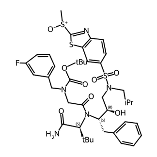 CC(C)CN(C[C@@H](O)[C@H](Cc1ccccc1)N(C(=O)CN(Cc1cccc(F)c1)C(=O)OC(C)(C)C)[C@H](C(N)=O)C(C)(C)C)S(=O)(=O)c1ccc2nc([S+](C)[O-])sc2c1